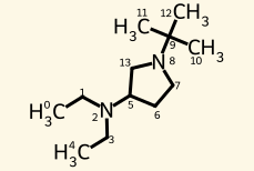 CCN(CC)C1CCN(C(C)(C)C)C1